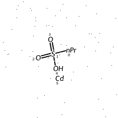 CCCS(=O)(=O)O.[Cd]